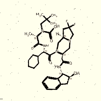 C[C@@H](C(=O)N[C@H](C(=O)N1C[C@H]2CC(F)(F)CN2C[C@H]1C(=O)N[C@H]1c2ccccc2C[C@@H]1O)C1CCCCC1)N(CC(C)(C)C)C(=O)O